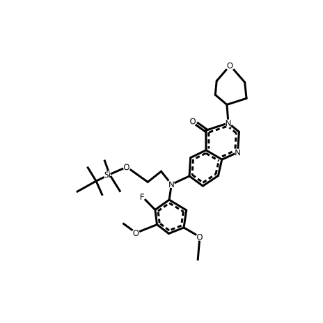 COc1cc(OC)c(F)c(N(CCO[Si](C)(C)C(C)(C)C)c2ccc3ncn(C4CCOCC4)c(=O)c3c2)c1